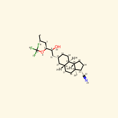 CCC[C@H](OC(F)(F)F)[C@@H](O)C[C@@H]1CC[C@@H]2[C@H](CC[C@]3(C)[C@@H](C#N)CC[C@@H]23)C1